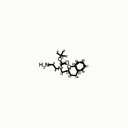 CC(C)(C)OC(=O)N(CCN)CC1CCc2ccccc2O1